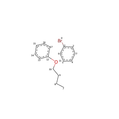 Brc1ccccc1.CCCCOc1ccccc1